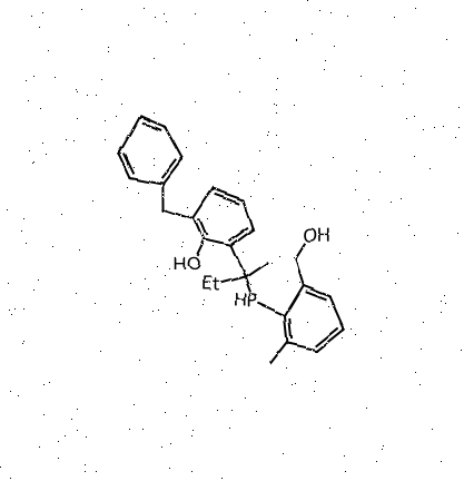 CCC(C)(Pc1c(C)cccc1CO)c1cccc(Cc2ccccc2)c1O